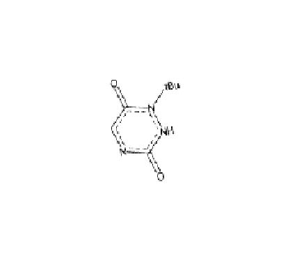 CC(C)(C)n1[nH]c(=O)ncc1=O